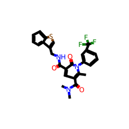 Cc1c(C(=O)N(C)C)cc(C(=O)NCc2csc3ccccc23)c(=O)n1-c1cccc(C(F)(F)F)c1